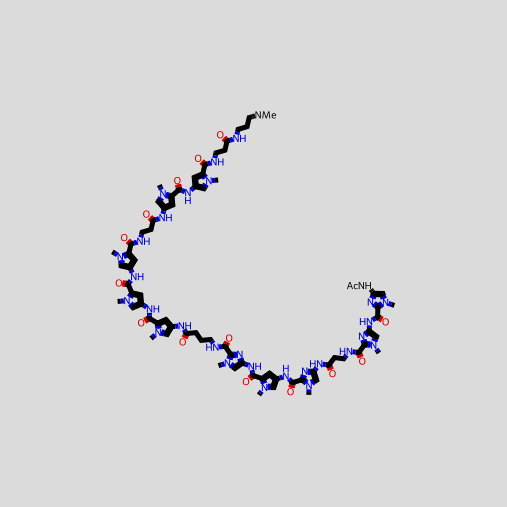 CNCCCNC(=O)CCNC(=O)c1cc(NC(=O)c2cc(NC(=O)CCNC(=O)c3cc(NC(=O)c4cc(NC(=O)c5cc(NC(=O)CCCNC(=O)c6nc(NC(=O)c7cc(NC(=O)c8nc(NC(=O)CCNC(=O)c9nc(NC(=O)c%10nc(NC(C)=O)cn%10C)cn9C)cn8C)cn7C)cn6C)cn5C)cn4C)cn3C)cn2C)cn1C